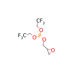 FC(F)(F)COP(OCC1CO1)OCC(F)(F)F